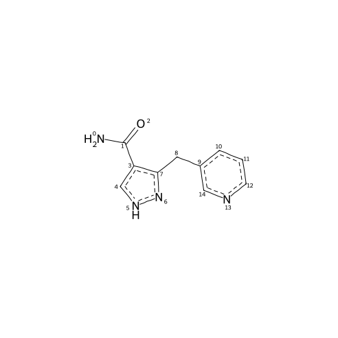 NC(=O)c1c[nH]nc1Cc1cccnc1